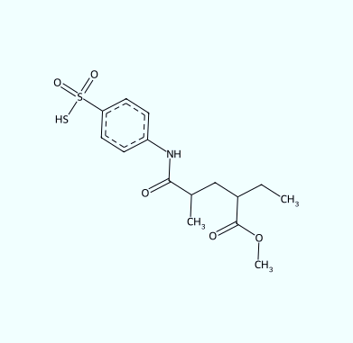 CCC(CC(C)C(=O)Nc1ccc(S(=O)(=O)S)cc1)C(=O)OC